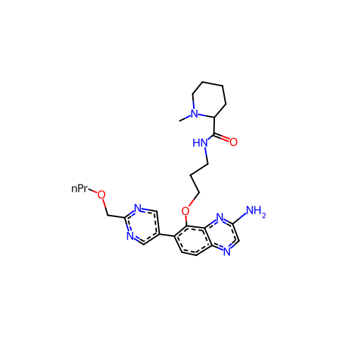 CCCOCc1ncc(-c2ccc3ncc(N)nc3c2OCCCNC(=O)C2CCCCN2C)cn1